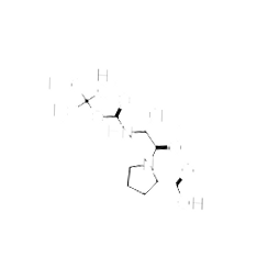 C[C@@H](NC(=O)OC(C)(C)C)C(=O)N1CCC[C@H]1C(=O)O